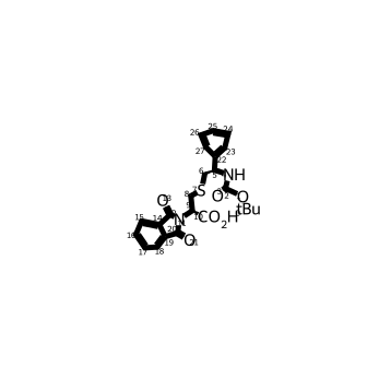 CC(C)(C)OC(=O)N[C@@H](CSC[C@@H](C(=O)O)N1C(=O)c2ccccc2C1=O)c1ccccc1